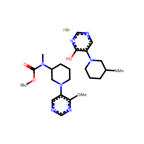 Br.CNC1CCCN(c2cncnc2O)C1.COc1ncncc1N1CCCC(N(C)C(=O)OC(C)(C)C)C1